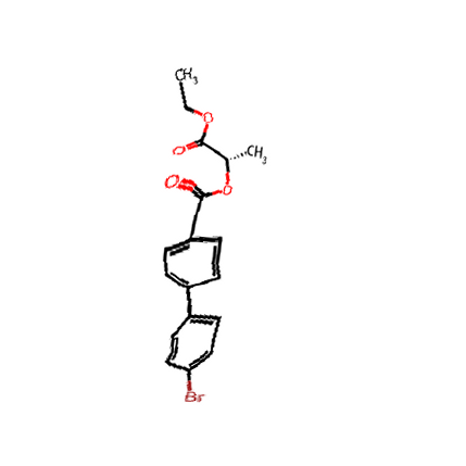 CCOC(=O)[C@H](C)OC(=O)c1ccc(-c2ccc(Br)cc2)cc1